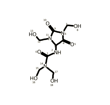 O=C(NC1C(=O)N(CO)C(=O)N1CO)N(CO)CO